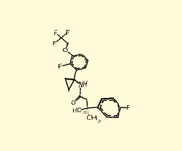 C[C@](O)(CC(=O)NC1(c2cccc(OCC(F)(F)F)c2F)CC1)c1ccc(F)cc1